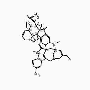 CCC1=C[C@H]2CN(C1)Cc1c([nH]c3ccc(N)cc13)[C@@](C(=O)OC)(C1C=C3C(=CC1OC)N(C)[C@H]1[C@@](O)(C(=O)OC)[C@H](OC(C)=O)[C@]4(CC)C=CCN5CC[C@]31[C@@H]54)C2